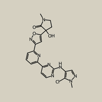 CN1CCC(O)(c2cc(-c3cccc(-c4ccnc(Nc5cnn(C)c5Cl)n4)n3)no2)C1=O